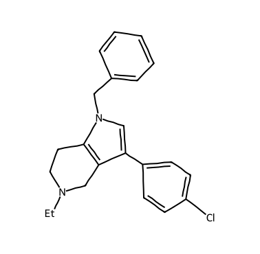 CCN1CCc2c(c(-c3ccc(Cl)cc3)cn2Cc2ccccc2)C1